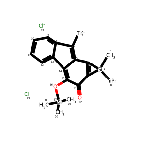 CCC[Si]1(C)C2=C1C1=[C]([Ti+2])c3ccccc3C1=C(O[Si](C)(C)C)C2=O.[Cl-].[Cl-]